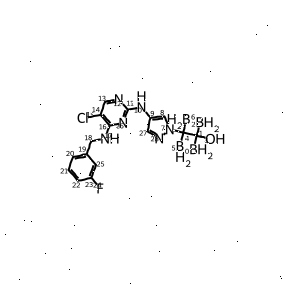 BC(B)(O)C(B)(B)n1cc(Nc2ncc(Cl)c(NCc3cccc(F)c3)n2)cn1